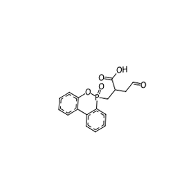 O=CCC(CP1(=O)Oc2ccccc2-c2ccccc21)C(=O)O